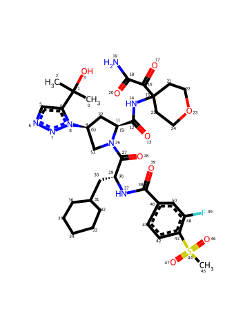 CC(C)(O)c1cnnn1[C@H]1C[C@@H](C(=O)NC2(C(=O)C(N)=O)CCOCC2)N(C(=O)[C@@H](CC2CCCCC2)NC(=O)c2ccc(S(C)(=O)=O)c(F)c2)C1